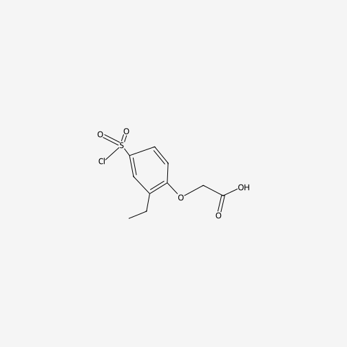 CCc1cc(S(=O)(=O)Cl)ccc1OCC(=O)O